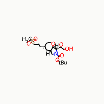 CC(C)(C)OC(=O)N1C[C@@H]2C[C@H](CCCS(C)(=O)=O)CCO[C@H]2[C@H]1C(=O)CO